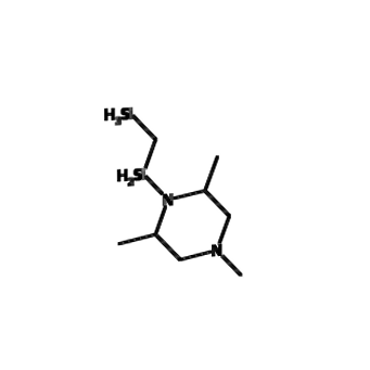 CC1CN(C)CC(C)N1[SiH2]C[SiH3]